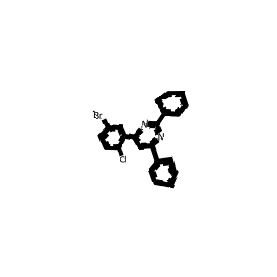 Clc1ccc(Br)cc1-c1cc(-c2ccccc2)nc(-c2ccccc2)n1